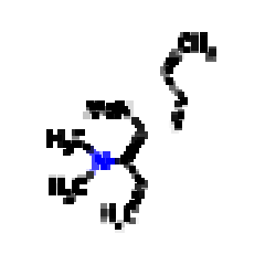 C=C/C=C\C(NC)=C(/C=C)N(C)C